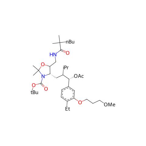 CCCCC(C)(C)C(=O)NCC1OC(C)(C)N(C(=O)OC(C)(C)C)[C@H]1CC(C(C)C)[C@H](OC(C)=O)c1ccc(CC)c(OCCCOC)c1